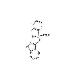 CC[C@](Cc1c[nH]c2ccccc12)(C(=O)O)c1ccccc1F